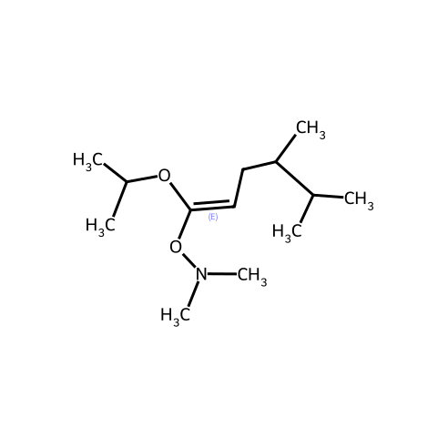 CC(C)O/C(=C\CC(C)C(C)C)ON(C)C